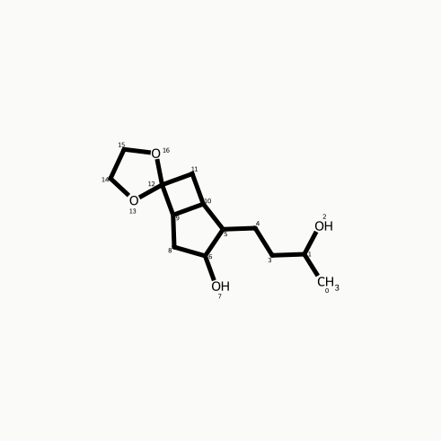 CC(O)CCC1C(O)CC2C1CC21OCCO1